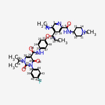 C=Nc1cnc(C(=O)NC2CCN(C)CC2)cc1/C(=C\C)Oc1ccc(NC(=O)c2cn(C(C)C)c(=O)n(-c3ccc(F)cc3)c2=O)cc1